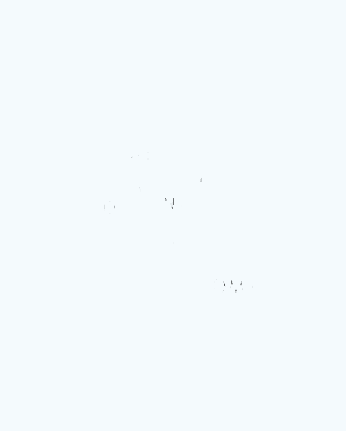 COCCN1[CH]COC1=O